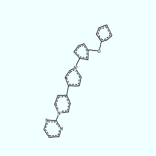 c1ccc(Oc2cccc(-[n+]3ccc(-c4cc[n+](-c5ncccn5)cc4)cc3)c2)cc1